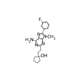 Cn1c(-c2cccc(F)c2)nc2c(N)nc(CCC3(O)CCCC3)nc21